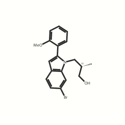 COc1ccccc1-c1cc2ccc(Br)cc2n1C[C@H](C)CO